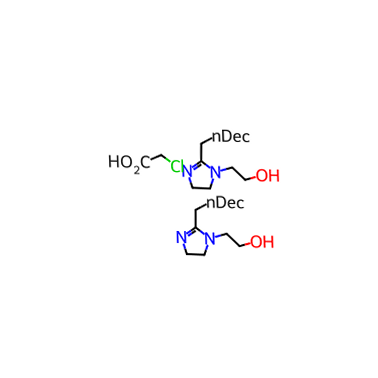 CCCCCCCCCCCC1=NCCN1CCO.CCCCCCCCCCCC1=NCCN1CCO.O=C(O)CCl